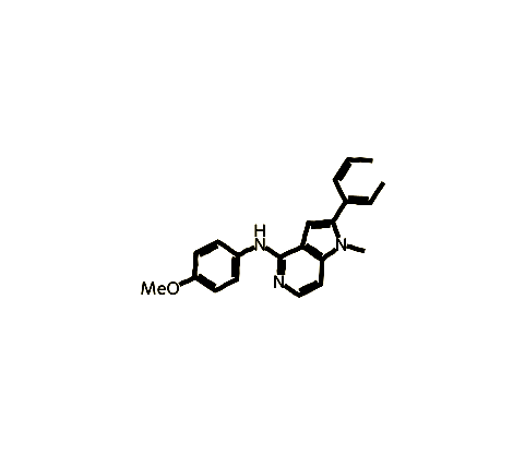 C/C=C\C(=C/C)c1cc2c(Nc3ccc(OC)cc3)nccc2n1C